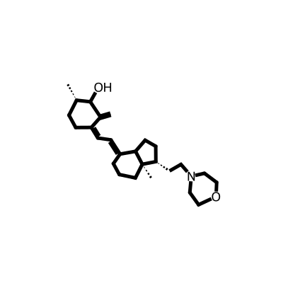 C=C1/C(=C\C=C2/CCC[C@@]3(C)C2CC[C@@H]3CCN2CCOCC2)CC[C@H](C)C1O